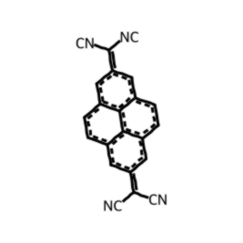 [C-]#[N+]C([N+]#[C-])=c1cc2ccc3cc(=C(C#N)C#N)cc4ccc(c1)c2c34